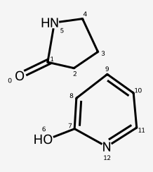 O=C1CCCN1.Oc1ccccn1